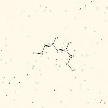 CC/C=C(C)\C=C(/C)OCC